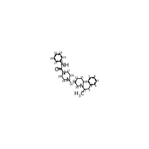 CC(Cc1ccccc1)N1CCC[C@@H](CN2CCN(C(=O)Nc3ccccc3)CC2)C1